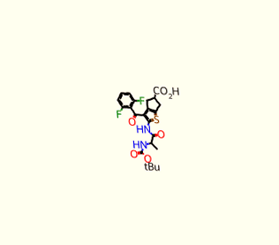 CC(NC(=O)OC(C)(C)C)C(=O)Nc1sc2c(c1C(=O)c1c(F)cccc1F)CC(C(=O)O)C2